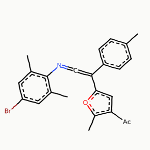 CC(=O)c1cc(C(=C=Nc2c(C)cc(Br)cc2C)c2ccc(C)cc2)oc1C